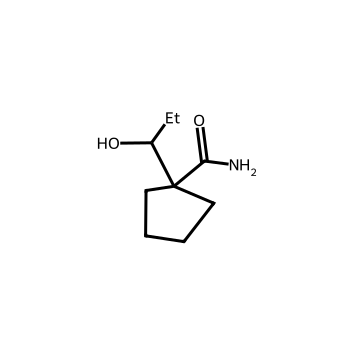 CCC(O)C1(C(N)=O)CCCC1